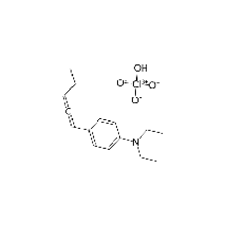 CCC=C=Cc1ccc(N(CC)CC)cc1.[O-][Cl+3]([O-])([O-])O